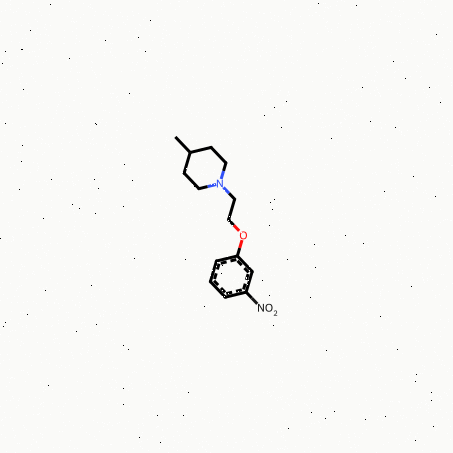 CC1CCN(CCOc2cccc([N+](=O)[O-])c2)CC1